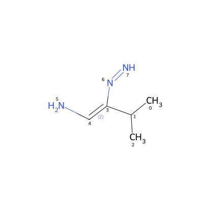 CC(C)/C(=C/N)N=N